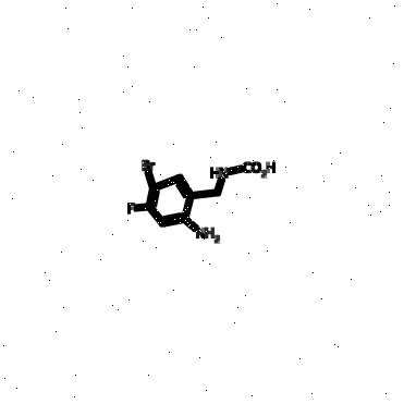 Nc1cc(F)c(Br)cc1CNC(=O)O